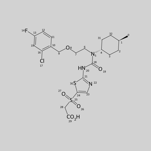 C[C@H]1CC[C@H](N(CCOCc2ccc(F)cc2Cl)C(=O)Nc2ncc(S(=O)(=O)CC(=O)O)s2)CC1